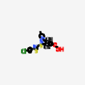 CC1CCN(c2nc(SCc3csc(-c4ccc(Cl)cc4)n3)c(C#N)c(-c3ccc(OCCO)cc3)c2C#N)CC1